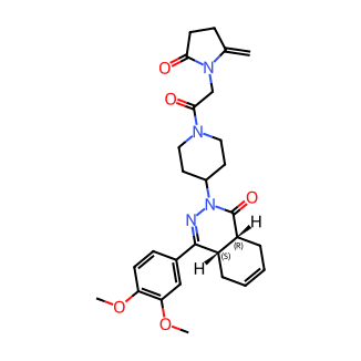 C=C1CCC(=O)N1CC(=O)N1CCC(N2N=C(c3ccc(OC)c(OC)c3)[C@H]3CC=CC[C@H]3C2=O)CC1